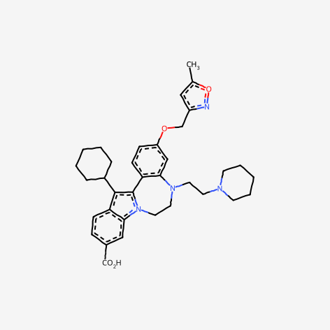 Cc1cc(COc2ccc3c(c2)N(CCN2CCCCC2)CCn2c-3c(C3CCCCC3)c3ccc(C(=O)O)cc32)no1